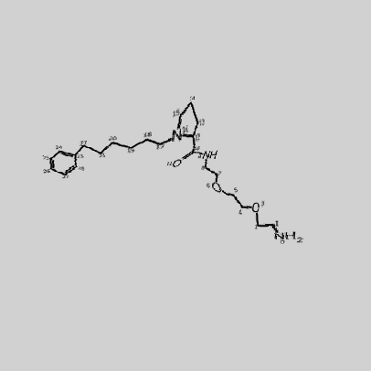 NCCOCCOCCNC(=O)C1CCCN1CCCCCCc1ccccc1